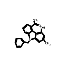 Cc1cc(O)c2c3c(C(N)=O)cccc3n(Cc3ccccc3)c2c1